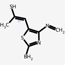 Bc1nc(N=C)c(/C=C(\C)S)s1